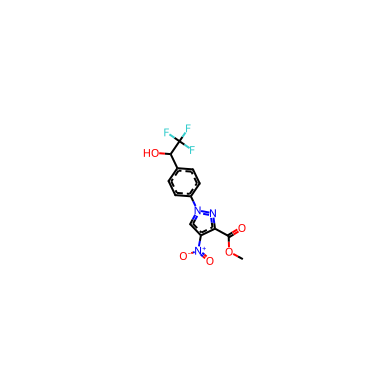 COC(=O)c1nn(-c2ccc(C(O)C(F)(F)F)cc2)cc1[N+](=O)[O-]